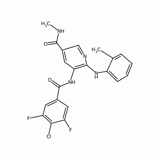 CNC(=O)c1cnc(Nc2ccccc2C)c(NC(=O)c2cc(F)c(Cl)c(F)c2)c1